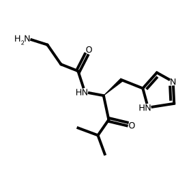 CC(C)C(=O)[C@H](Cc1cnc[nH]1)NC(=O)CCN